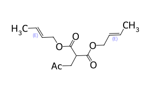 C/C=C/COC(=O)C(CC(C)=O)C(=O)OC/C=C/C